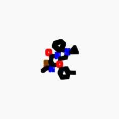 Cc1cccc(Oc2nc(C)sc2C(=O)N2CCN(C3CC3)c3ccccc32)c1